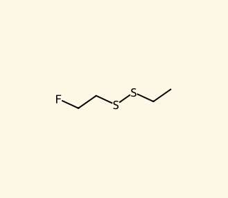 CCSSCCF